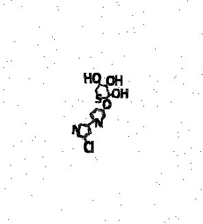 O[C@@H]1[C@@H](O)[C@@H](Oc2ccc(-c3cncc(Cl)c3)nc2)SC[C@H]1O